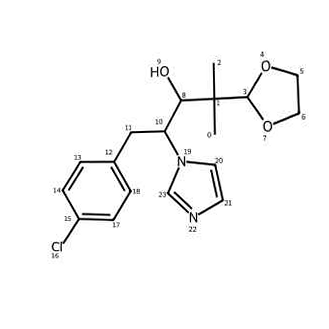 CC(C)(C1OCCO1)C(O)C(Cc1ccc(Cl)cc1)n1ccnc1